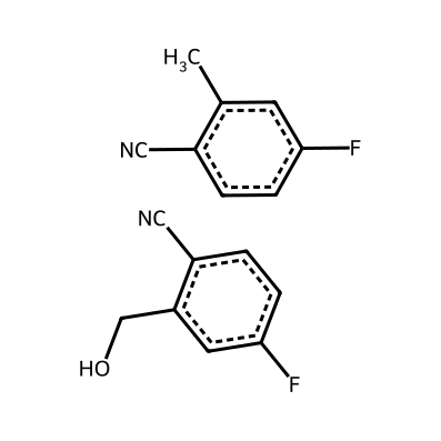 Cc1cc(F)ccc1C#N.N#Cc1ccc(F)cc1CO